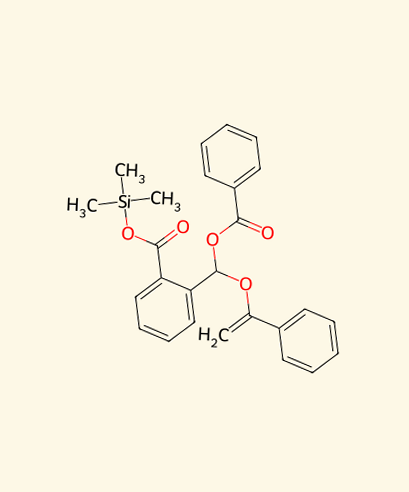 C=C(OC(OC(=O)c1ccccc1)c1ccccc1C(=O)O[Si](C)(C)C)c1ccccc1